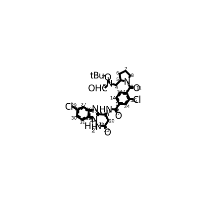 CC(C)(C)ON(C=O)CC1CCCN1C(=O)c1ccc(C(=O)NC(CC(N)=O)c2nc3cc(Cl)ccc3[nH]2)cc1Cl